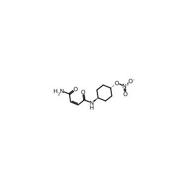 NC(=O)/C=C\C(=O)N[C@H]1CC[C@H](O[N+](=O)[O-])CC1